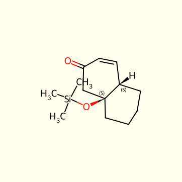 C[Si](C)(C)O[C@]12CCCC[C@H]1C=CC(=O)C2